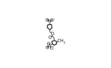 Cc1ccc(S(=O)(=O)Cl)cc1CC(=O)OCc1ccc([N+](=O)[O-])cc1